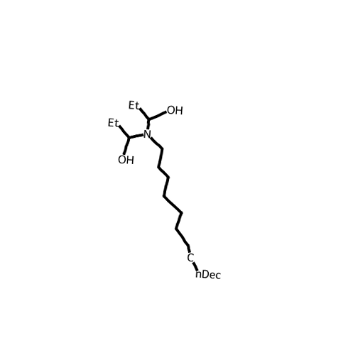 CCCCCCCCCCCCCCCCCCN(C(O)CC)C(O)CC